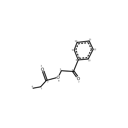 CCC(=O)O[CH]C(=O)c1ccccc1